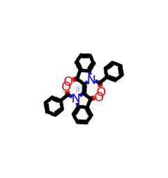 O=C1/C(=C2/C(=O)c3ccccc3N2C(=O)c2ccccc2)N(C(=O)c2ccccc2)c2ccccc21